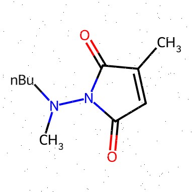 CCCCN(C)N1C(=O)C=C(C)C1=O